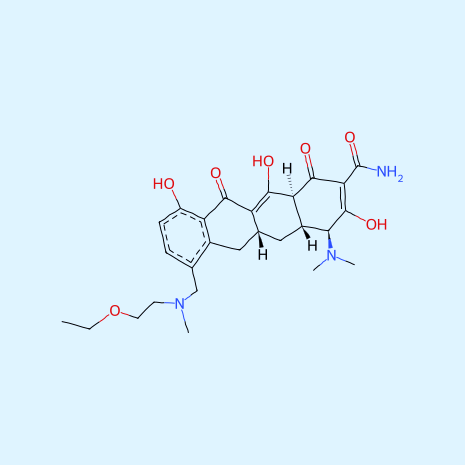 CCOCCN(C)Cc1ccc(O)c2c1C[C@H]1C[C@@H]3[C@H](C(=O)C(C(N)=O)=C(O)[C@H]3N(C)C)C(O)=C1C2=O